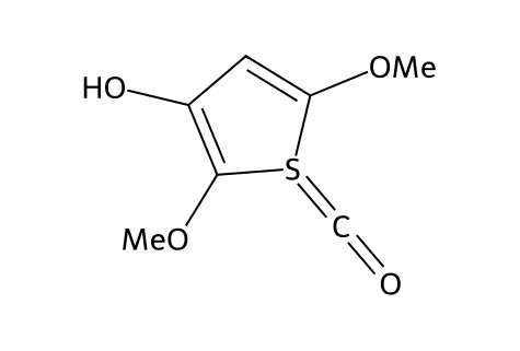 COC1=CC(O)=C(OC)S1=C=O